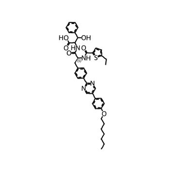 CCCCCCCOc1ccc(-c2cnc(-c3ccc(C[C@H](NC(=O)c4ccc(CC)s4)C(=O)NC(C(=O)O)C(O)c4ccccc4)cc3)nc2)cc1